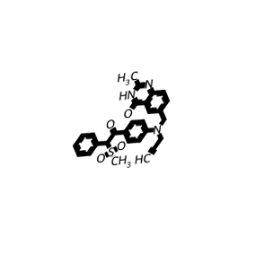 C#CCN(Cc1ccc2nc(C)[nH]c(=O)c2c1)c1ccc(C(=O)C(c2ccccc2)S(C)(=O)=O)cc1